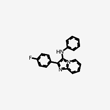 Fc1ccc(-c2nc3ccccn3c2Nc2ccccc2)cc1